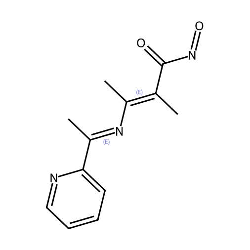 C/C(=N\C(C)=C(/C)C(=O)N=O)c1ccccn1